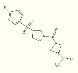 C[S+]([O-])N1CC(C(=O)N2CCC(S(=O)(=O)c3ccc(F)cc3)C2)C1